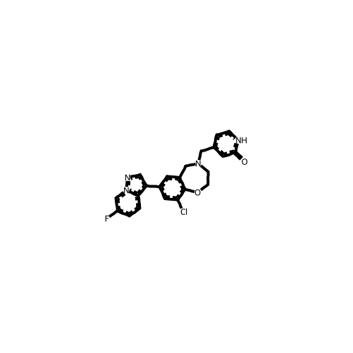 O=c1cc(CN2CCOc3c(Cl)cc(-c4cnn5cc(F)ccc45)cc3C2)cc[nH]1